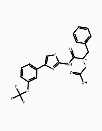 O=C(O)C[C@@H](Cc1ccccc1)C(=O)Nc1nc(-c2cccc(OC(F)(F)F)c2)cs1